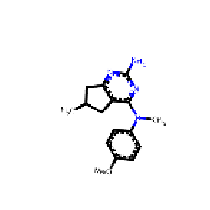 COc1ccc(N(C)c2nc(N)nc3c2CC(C)C3)cc1